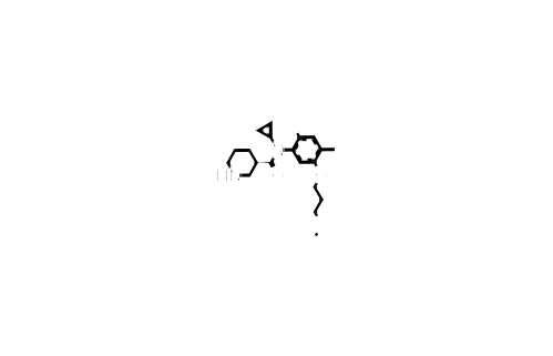 COCCCOc1cc(N(C(=O)[C@@H]2CCCNC2)C2CC2)c(F)cc1C